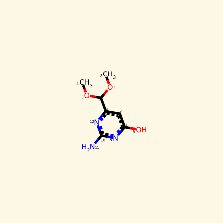 COC(OC)c1cc(O)nc(N)n1